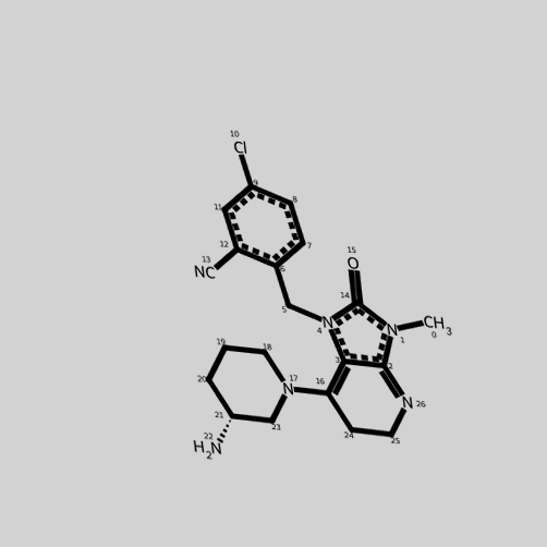 Cn1c2c(n(Cc3ccc(Cl)cc3C#N)c1=O)=C(N1CCC[C@@H](N)C1)CCN=2